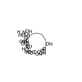 C[C@@H]1[C@H](O)[C@@H](C)/C=C/C=C/C=C/C=C/C=C/C=C/C=C/[C@H](O[C@@H]2O[C@H](C)[C@@H](O)[C@H](N)[C@@H]2O)CC2O[C@@](O)(CC3OC(=O)N[C@H]32)C[C@@H](O)C[C@@H](O)[C@H](O)CC[C@@H](O)C[C@@H](O)CC(=O)O[C@H]1C